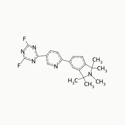 CN1C(C)(C)c2ccc(-c3ccc(-c4nc(F)nc(F)n4)cn3)cc2C1(C)C